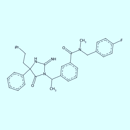 CC(C)CCC1(c2ccccc2)NC(=N)N(C(C)c2cccc(C(=O)N(C)Cc3ccc(F)cc3)c2)C1=O